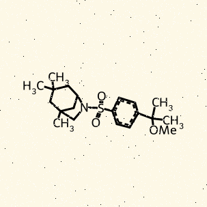 COC(C)(C)c1ccc(S(=O)(=O)N2CC3(C)CC2CC(C)(C)C3)cc1